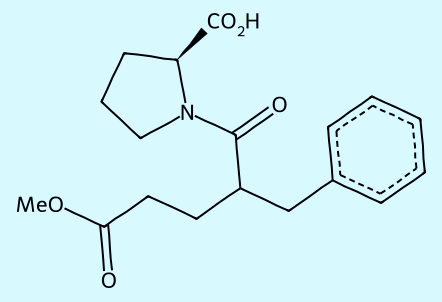 COC(=O)CCC(Cc1ccccc1)C(=O)N1CCC[C@H]1C(=O)O